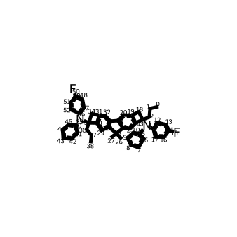 CCCC1(N(c2ccccc2)c2ccc(F)cc2)Cc2cc3c(cc21)C(C)(C)c1cc2c(cc1-3)CC2(CCC)N(c1ccccc1)c1ccc(F)cc1